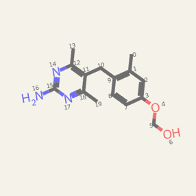 Cc1cc(OCO)ccc1Cc1c(C)nc(N)nc1C